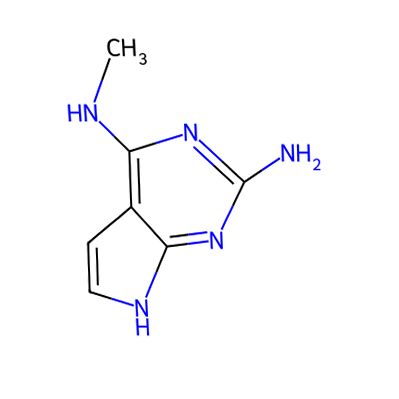 CNc1nc(N)nc2[nH]ccc12